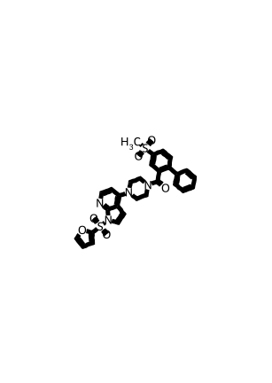 CS(=O)(=O)c1ccc(-c2ccccc2)c(C(=O)N2CCN(c3ccnc4c3ccn4S(=O)(=O)c3ccco3)CC2)c1